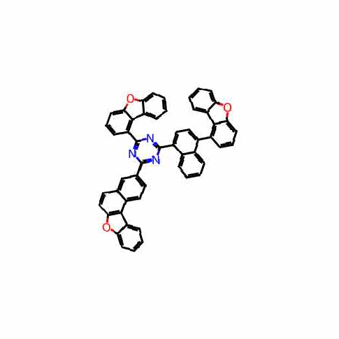 c1ccc2c(c1)oc1cccc(-c3nc(-c4ccc5c(ccc6oc7ccccc7c65)c4)nc(-c4ccc(-c5cccc6oc7ccccc7c56)c5ccccc45)n3)c12